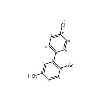 CC(=O)c1ccc(O)cc1-c1ccc(Cl)cc1